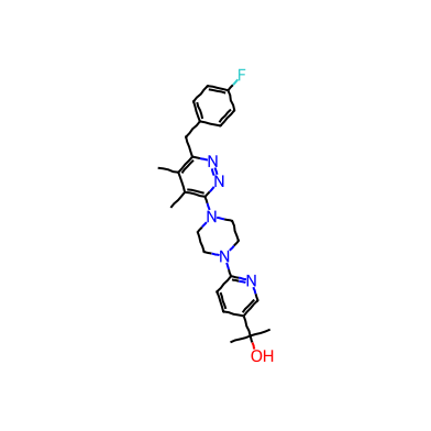 Cc1c(Cc2ccc(F)cc2)nnc(N2CCN(c3ccc(C(C)(C)O)cn3)CC2)c1C